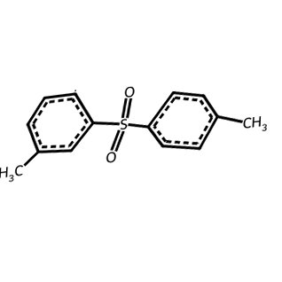 Cc1ccc(S(=O)(=O)c2[c]ccc(C)c2)cc1